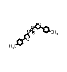 Cc1ccc(C2CC(O[N+](=O)OC3COC(c4ccc(C)cc4)C3)CO2)cc1